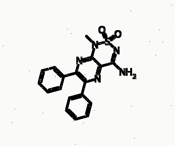 CN1c2nc(-c3ccccc3)c(-c3ccccc3)nc2C(N)=NS1(=O)=O